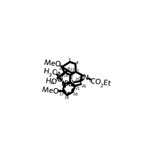 CCOC(=O)N1C2C34CCC(OC)(C(C(C)(O)C(C)(C)C)C3)C3Oc5c(OC)ccc6c5[C@@]34C[C@]21C6